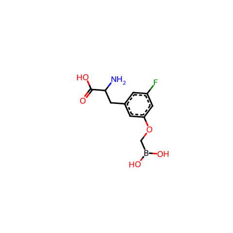 NC(Cc1cc(F)cc(OCB(O)O)c1)C(=O)O